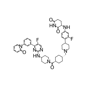 O=C1CCC(Nc2ccc(C3CCN(C[C@H]4CC[C@H](C(=O)N5CCC(Nc6ncc(F)c(-c7cccc(-n8ccccc8=O)c7)n6)CC5)CC4)CC3)c(F)c2)C(=O)N1